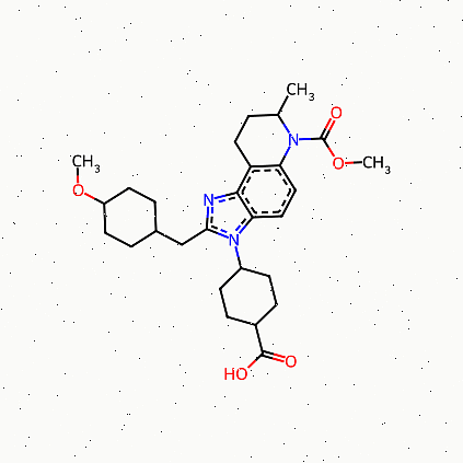 COC(=O)N1c2ccc3c(nc(CC4CCC(OC)CC4)n3C3CCC(C(=O)O)CC3)c2CCC1C